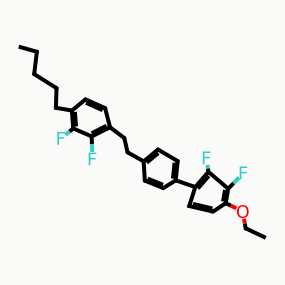 CCCCCc1ccc(CCc2ccc(-c3ccc(OCC)c(F)c3F)cc2)c(F)c1F